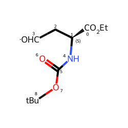 CCOC(=O)[C@H](C[C]=O)NC(=O)OC(C)(C)C